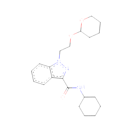 O=C(NC1CCCCC1)c1nn(CCOC2CCCCO2)c2ccccc12